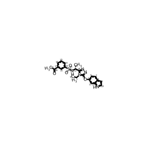 CCn1c(Oc2ccc3cc[nH]c3c2)nnc1[C@@H](C)NS(=O)(=O)c1cccc(C(C)=O)c1